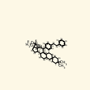 CC1(C)CCC2(CCC3=C4C(c5ccc(CCc6ccccc6)cc5)CC5(C)C(CC[C@@]5(C)C(C)(F)C(F)(F)F)C4CCC3C2)CC1